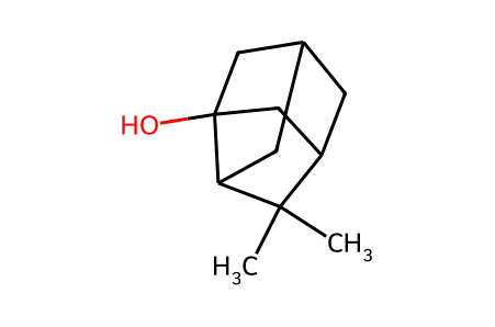 CC1(C)C2CC3CC1C(O)(C3)C2